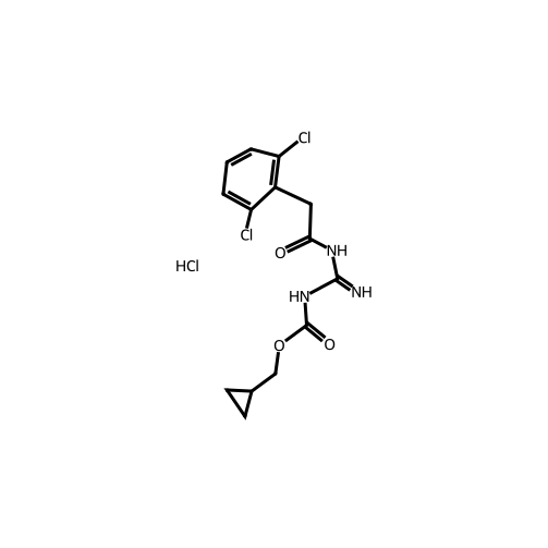 Cl.N=C(NC(=O)Cc1c(Cl)cccc1Cl)NC(=O)OCC1CC1